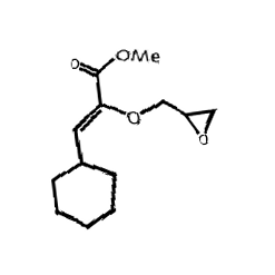 COC(=O)C(=CC1CCCCC1)OCC1CO1